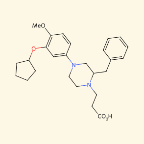 COc1ccc(N2CCN(CCC(=O)O)C(Cc3ccccc3)C2)cc1OC1CCCC1